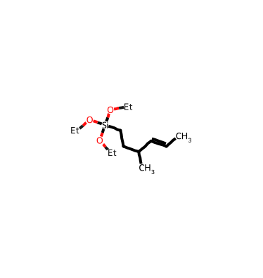 CC=CC(C)CC[Si](OCC)(OCC)OCC